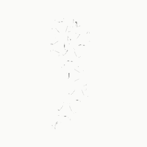 CC1C=C(c2ccc3oc4cc5c(cc4c3c2)oc2ccc(-c3ccc(C#N)cc3)cc25)C(n2c3ccccc3c3ccccc32)=C(C#N)C1